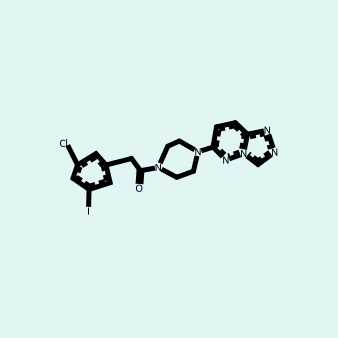 O=C(Cc1cc(Cl)cc(I)c1)N1CCN(c2ccc3nncn3n2)CC1